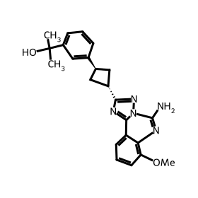 COc1cccc2c1nc(N)n1nc([C@H]3C[C@H](c4cccc(C(C)(C)O)c4)C3)nc21